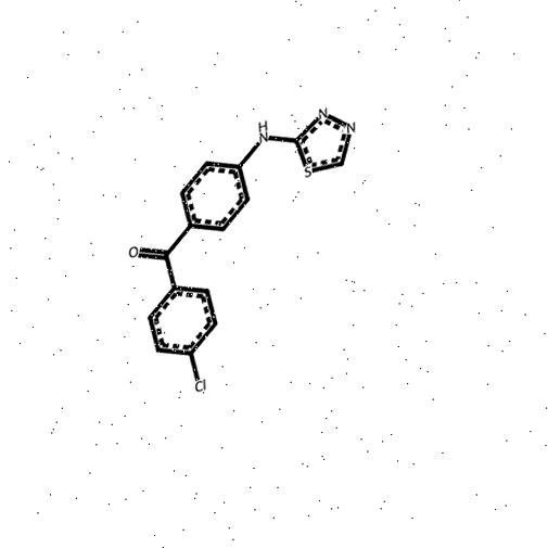 O=C(c1ccc(Cl)cc1)c1ccc(Nc2nncs2)cc1